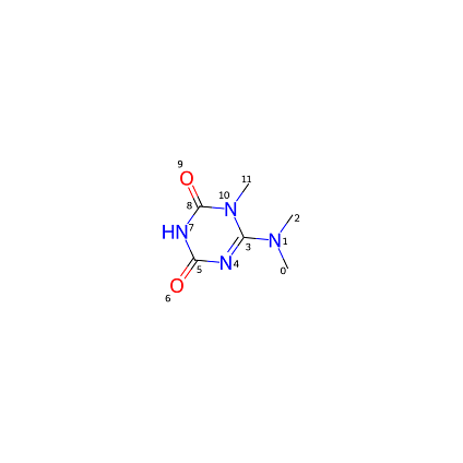 CN(C)c1nc(=O)[nH]c(=O)n1C